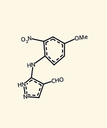 COc1ccc(Nc2[nH]ncc2C=O)c([N+](=O)[O-])c1